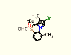 CC(C)(C)OC=O.Cc1cccc2c1-n1c3cc(c1c(C)c3Br)S2